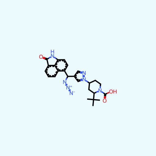 CC(C)(C)C1CC(n2cc(C(N=[N+]=[N-])c3ccc4c5c(cccc35)C(=O)N4)cn2)CCN1C(=O)O